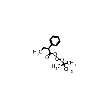 CCC(C(=O)OOOC(C)(C)C)c1ccccc1